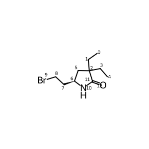 CCC1(CC)C[C@H](CCBr)NC1=O